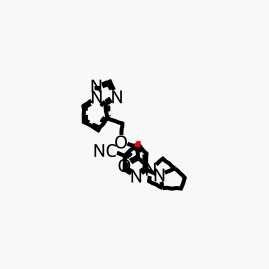 N#Cc1ccc(N2C3CCC2CN(C(=O)COCc2cccn4ncnc24)C3)nc1